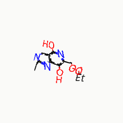 CCOOCc1nc(O)c2cnc(C)nc2c1O